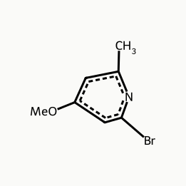 COc1cc(C)nc(Br)c1